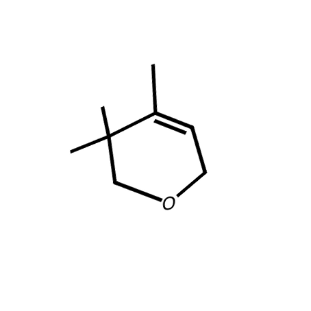 CC1=CCOCC1(C)C